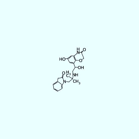 CC(C)(CN1C(=O)Cc2ccccc21)NCC(O)c1cc(O)cc2c1OCC(=O)N2